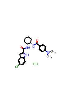 CN(C)c1ccc(C(=O)N[C@H]2CCCC[C@H]2NC(=O)c2cc3cc(Cl)ccc3[nH]2)cc1.Cl